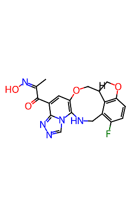 C/C(=N/O)C(=O)c1cc2c(n3cnnc13)NCc1c(F)ccc3c1[C@@H](CO3)CO2